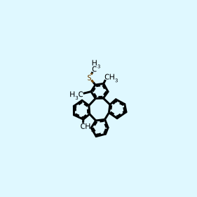 CSc1c(C)cc2c(c1C)-c1cccc(C)c1-c1ccccc1-c1ccccc1-2